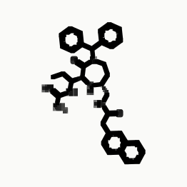 CCC(NC(=N)N)[C@@H]1N[C@@H](CNC(=O)Cc2ccc3ccccc3c2)CCN(C(c2ccccc2)c2ccccc2)C1=O